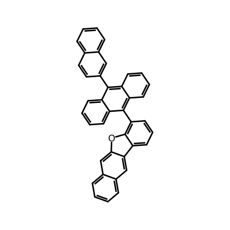 c1ccc2cc(-c3c4ccccc4c(-c4cccc5c4oc4cc6ccccc6cc45)c4ccccc34)ccc2c1